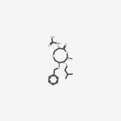 CC(C)CC[C@H]1[C@H](C)OC(=O)[C@@H](NC(=O)O)COC[C@@H]1OCc1ccccc1